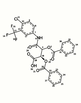 O=C(OC(C(=O)Nc1ccc(Cl)c(C(F)(F)F)c1)[C@@H](OC(=O)c1ccccc1)C(=O)O)c1ccccc1